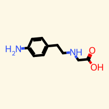 Nc1ccc(CCNCC(=O)O)cc1